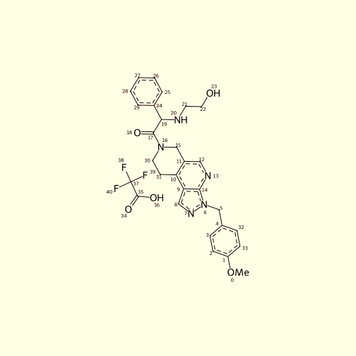 COc1ccc(Cn2ncc3c4c(cnc32)CN(C(=O)C(NCCO)c2ccccc2)CC4)cc1.O=C(O)C(F)(F)F